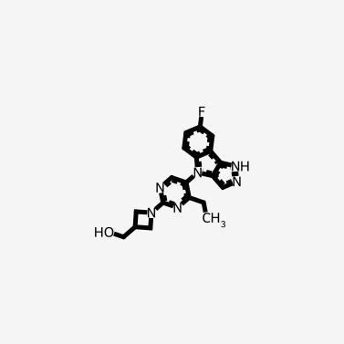 CCc1nc(N2CC(CO)C2)ncc1-n1c2ccc(F)cc2c2[nH]ncc21